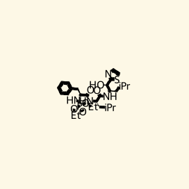 CCOP(=O)(N[C@@H](Cc1ccccc1)C(=O)N[C@@H](CC(C)C)C(=O)N[C@H](CC(C)C)[C@H](O)c1nccs1)OCC